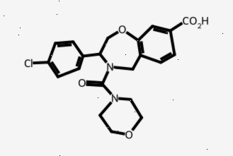 O=C(O)c1ccc2c(c1)OCC(c1ccc(Cl)cc1)N(C(=O)N1CCOCC1)C2